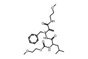 C=C(C(=O)NCCOC)[C@H](Cc1ccccc1)NC(=O)C(CC(C)C)NC(=O)OCCOC